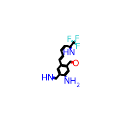 N=Cc1cc(/C=C/C=C\C(=N)C(F)(F)F)c(C=O)cc1N